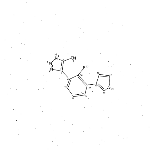 N#Cc1[nH]nnc1-c1cccc(-c2ccsc2)c1F